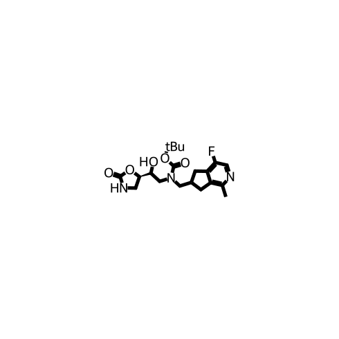 Cc1ncc(F)c2c1CC(CN(CC(O)[C@H]1CNC(=O)O1)C(=O)OC(C)(C)C)C2